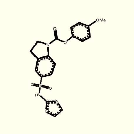 COc1ccc(OC(=O)N2CCc3cc(S(=O)(=O)Nc4nccs4)ccc32)cc1